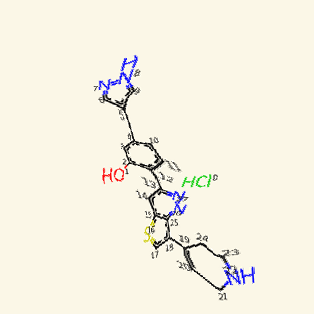 Cl.Oc1cc(-c2cn[nH]c2)ccc1-c1cc2scc(C3=CCNCC3)c2nn1